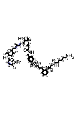 CC(/C=C/[C@H]1O[C@H](CC(=O)NCc2ccc(S(=O)(=O)NC(=O)CCc3ccccc3NC(=O)CNC(=O)CCCCCN)cc2)C[C@@]2(CO2)[C@@H]1O)=C\C[C@@H]1O[C@H](C)[C@H](NC(=O)/C=C\[C@H](C)OC(C)C)C[C@@H]1C